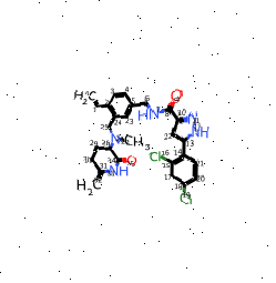 C=Cc1ccc(CNC(=O)C2=NNC(C3=C(Cl)CC(Cl)C=C3)C2)cc1CN(C)C1CCC(=C)NC1=O